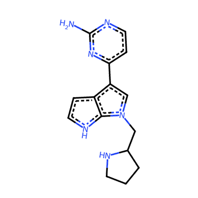 Nc1nccc(-c2cn(CC3CCCN3)c3[nH]ccc23)n1